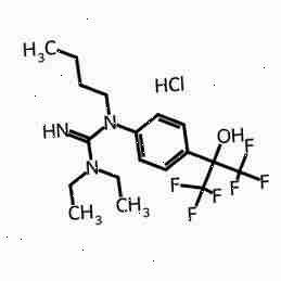 CCCCN(C(=N)N(CC)CC)c1ccc(C(O)(C(F)(F)F)C(F)(F)F)cc1.Cl